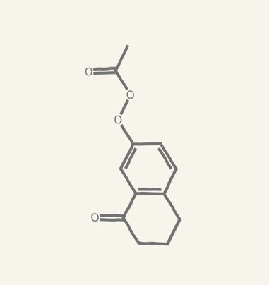 CC(=O)OOc1ccc2c(c1)C(=O)CCC2